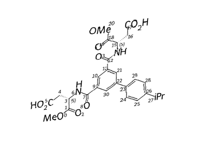 COC(=O)[C@H](CC(=O)O)NC(=O)c1cc(C(=O)N[C@@H](CC(=O)O)C(=O)OC)cc(-c2ccc(C(C)C)cc2)c1